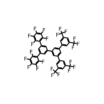 Fc1c(F)c(F)c(-c2cc(-c3cc(-c4cc(C(F)(F)F)cc(C(F)(F)F)c4)cc(-c4cc(C(F)(F)F)cc(C(F)(F)F)c4)c3)cc(-c3c(F)c(F)c(F)c(F)c3F)c2)c(F)c1F